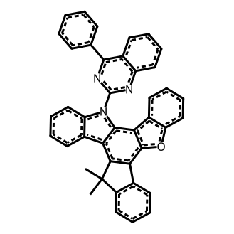 CC1(C)c2ccccc2-c2c1c1c3ccccc3n(-c3nc(-c4ccccc4)c4ccccc4n3)c1c1c2oc2ccccc21